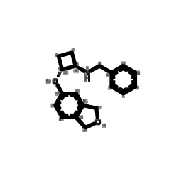 c1ccc(CN[C@@H]2CC[C@H]2Oc2ccc3c(c2)COC3)cc1